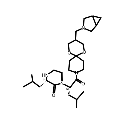 CC(C)C[C@@H]1NCCN([C@@H](CC(C)C)C(=O)N2CCC3(CC2)OCC(CN2CC4CC4C2)CO3)C1=O